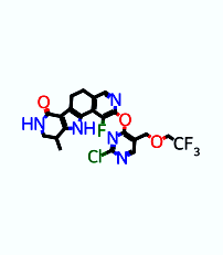 CC1CNC(=O)c2c1[nH]c1c2CCc2cnc(Oc3nc(Cl)ncc3COCC(F)(F)F)c(F)c2-1